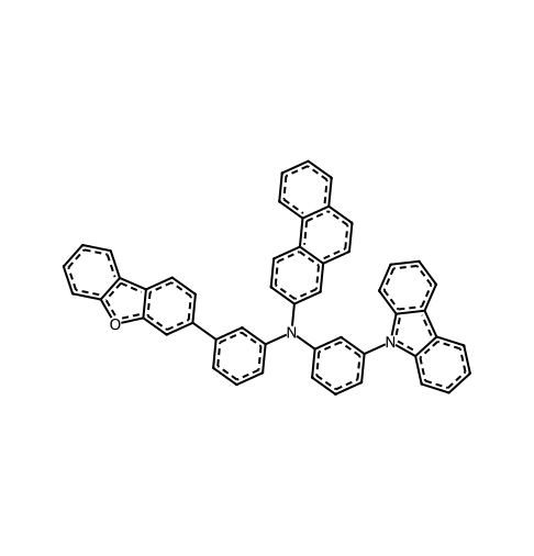 c1cc(-c2ccc3c(c2)oc2ccccc23)cc(N(c2cccc(-n3c4ccccc4c4ccccc43)c2)c2ccc3c(ccc4ccccc43)c2)c1